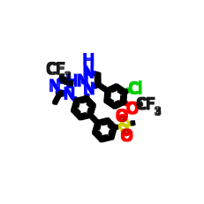 Cc1nc(C(F)(F)F)cn1-c1ccc(-c2cccc(S(C)(=O)=O)c2)cc1N1NNC=C1c1ccc(OC(F)(F)F)c(Cl)c1